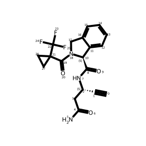 C#C[C@H](CC(N)=O)NC(=O)[C@@H]1c2ccccc2CN1C(=O)C1(C(F)(F)F)CC1